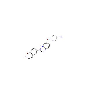 Cn1ccc2cc(-c3cnc4ccc(C(=O)N5CC[C@@H](N)[C@@H](O)C5)cc4n3)ccc2c1=O